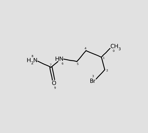 CC(CBr)CCNC(N)=O